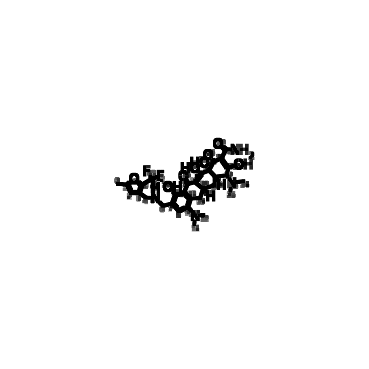 Cc1cc(CNCc2cc(N(C)C)c3c(c2O)C(=O)C2=C(O)[C@]4(O)C(=O)C(C(N)=O)=C(O)[C@@H](N(C)C)[C@@H]4C[C@@H]2C3)c(C(F)(F)F)o1